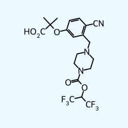 CC(C)(Oc1ccc(C#N)c(CN2CCN(C(=O)OC(C(F)(F)F)C(F)(F)F)CC2)c1)C(=O)O